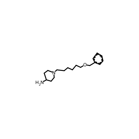 NC1CCN(CCCCCCOCc2ccccc2)CC1